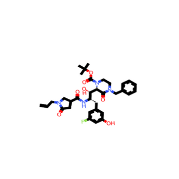 C=CCN1CC(C(=O)N[C@@H](Cc2cc(O)cc(F)c2)[C@H](O)[C@H]2C(=O)N(Cc3ccccc3)CCN2C(=O)OC(C)(C)C)CC1=O